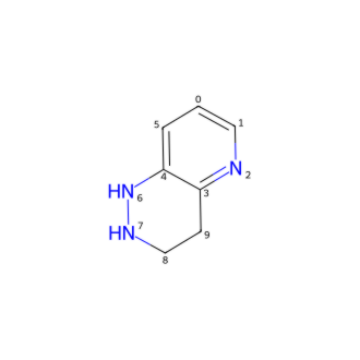 c1cnc2c(c1)NNCC2